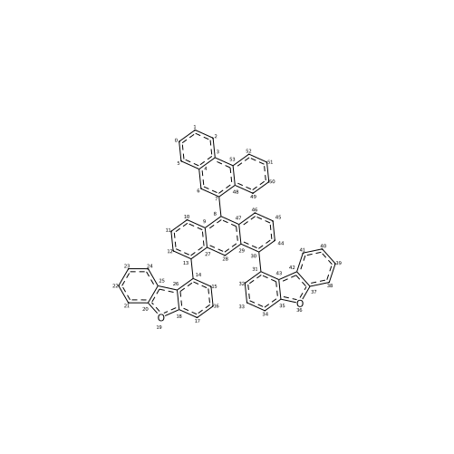 c1ccc2c(c1)cc(-c1c3cccc(-c4cccc5oc6ccccc6c45)c3cc3c(-c4cccc5oc6ccccc6c45)cccc13)c1ccccc12